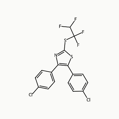 FC(F)C(F)(F)Sc1nc(-c2ccc(Cl)cc2)c(-c2ccc(Cl)cc2)s1